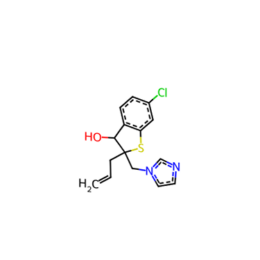 C=CCC1(Cn2ccnc2)Sc2cc(Cl)ccc2C1O